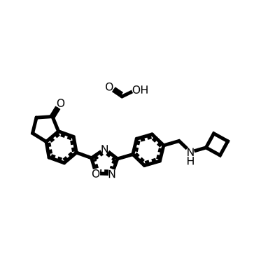 O=C1CCc2ccc(-c3nc(-c4ccc(CNC5CCC5)cc4)no3)cc21.O=CO